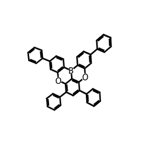 c1ccc(-c2ccc3c(c2)Oc2c(-c4ccccc4)cc(-c4ccccc4)c4c2B3c2ccc(-c3ccccc3)cc2O4)cc1